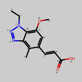 CCn1nnc2c(C)c(/C=C/C(=O)O)cc(OC)c21